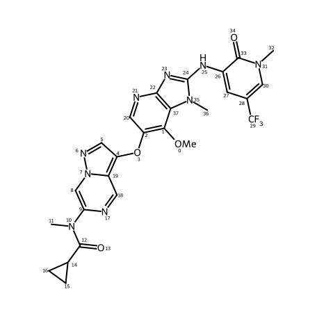 COc1c(Oc2cnn3cc(N(C)C(=O)C4CC4)ncc23)cnc2nc(Nc3cc(C(F)(F)F)cn(C)c3=O)n(C)c12